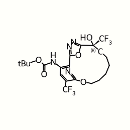 CC(C)(C)OC(=O)Nc1cc(C(F)(F)F)c2nc1-c1nnc(o1)[C@@](O)(C(F)(F)F)CCCCCCO2